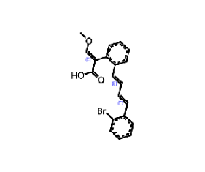 CO/C=C(/C(=O)O)c1ccccc1/C=C/C=C/c1ccccc1Br